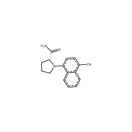 N#Cc1ccc(N2CCC[C@@H]2C(N)=O)c2ccccc12